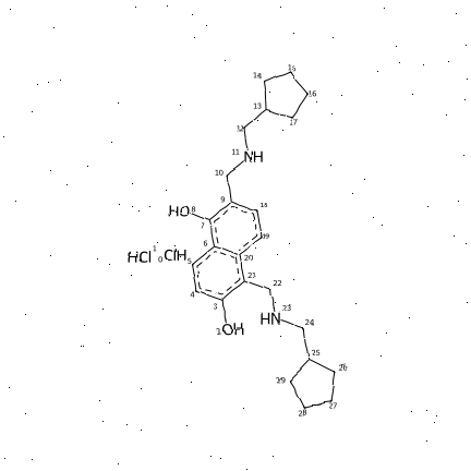 Cl.Cl.Oc1ccc2c(O)c(CNCC3CCCC3)ccc2c1CNCC1CCCC1